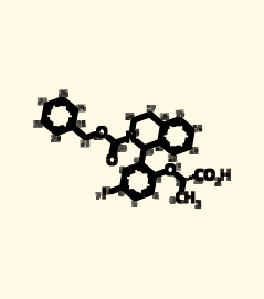 C[C@H](Oc1ccc(F)cc1C1c2ccccc2CCN1C(=O)OCc1ccccc1)C(=O)O